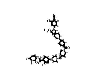 C[C@@H]1CC2(CCN(c3ccc(C(=O)N4CCC(CN5CCN(c6ccc(C(=O)N[C@@H]7CCC(=O)NC7=O)c(F)c6)CC5)CC4)cc3)CC2)CN1c1ccc(C#N)c(Cl)c1